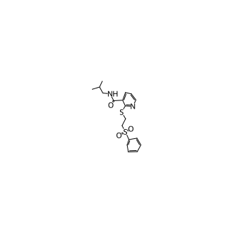 CC(C)CNC(=O)c1cccnc1SCCS(=O)(=O)c1ccccc1